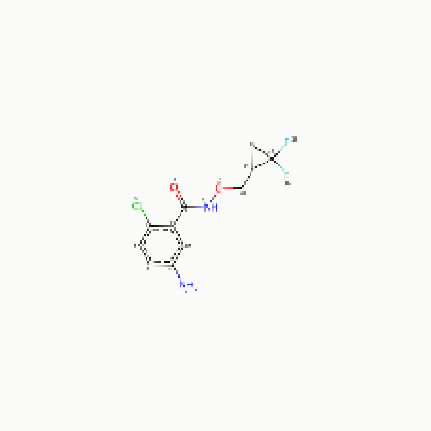 Nc1ccc(Cl)c(C(=O)NOCC2CC2(F)F)c1